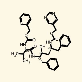 CC(C)[C@H](NC(=O)OCc1ccccn1)C(=O)N[C@@H](Cc1ccccc1)[C@@H](O)C[C@H](Cc1ccccc1)NC(=O)OCc1cncnc1